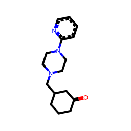 O=C1CCCC(CN2CCN(c3ccccn3)CC2)C1